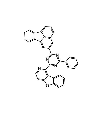 c1ccc(-c2nc(-c3cc4c5c(cccc5c3)-c3ccccc3-4)nc(-c3nccc4oc5ccccc5c34)n2)cc1